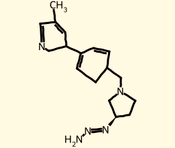 CC1=CC(C2=CCC(CN3CC[C@@H](N=NN)C3)C=C2)CN=C1